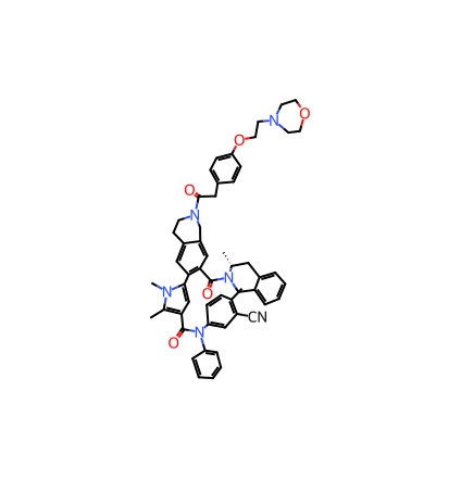 Cc1ccc(N(C(=O)c2cc(-c3cc4c(cc3C(=O)N3Cc5ccccc5C[C@H]3C)CN(C(=O)Cc3ccc(OCCN5CCOCC5)cc3)CC4)n(C)c2C)c2ccccc2)cc1C#N